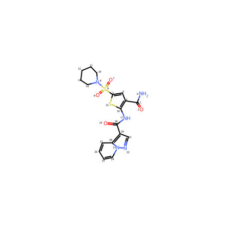 NC(=O)c1cc(S(=O)(=O)N2CCCCC2)sc1NC(=O)c1cnn2ccccc12